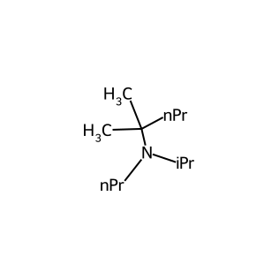 CCCN(C(C)C)C(C)(C)CCC